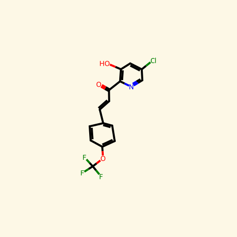 O=C(C=Cc1ccc(OC(F)(F)F)cc1)c1ncc(Cl)cc1O